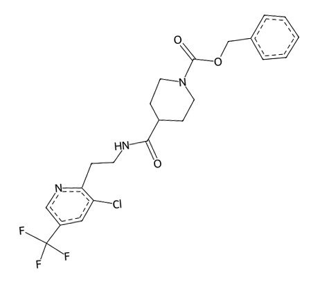 O=C(NCCc1ncc(C(F)(F)F)cc1Cl)C1CCN(C(=O)OCc2ccccc2)CC1